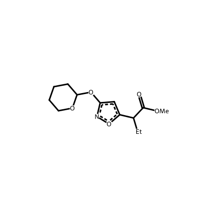 CCC(C(=O)OC)c1cc(OC2CCCCO2)no1